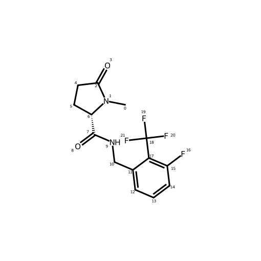 CN1C(=O)CC[C@H]1C(=O)NCc1cccc(F)c1C(F)(F)F